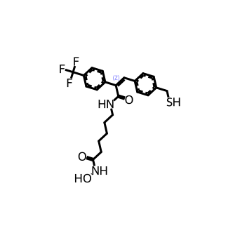 O=C(CCCCCNC(=O)/C(=C\c1ccc(CS)cc1)c1ccc(C(F)(F)F)cc1)NO